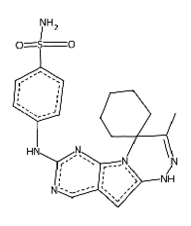 CC1=NNc2cc3cnc(Nc4ccc(S(N)(=O)=O)cc4)nc3n2C12CCCCC2